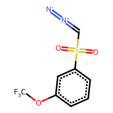 [N-]=[N+]=CS(=O)(=O)c1cccc(OC(F)(F)F)c1